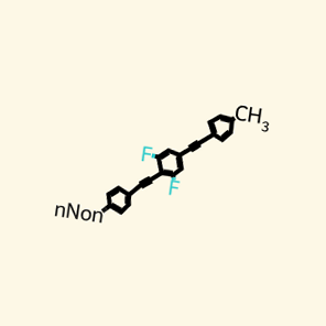 CCCCCCCCCc1ccc(C#Cc2c(F)cc(C#Cc3ccc(C)cc3)cc2F)cc1